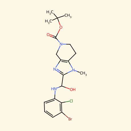 Cn1c(C(O)Nc2cccc(Br)c2Cl)nc2c1CCN(C(=O)OC(C)(C)C)C2